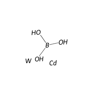 OB(O)O.[Cd].[W]